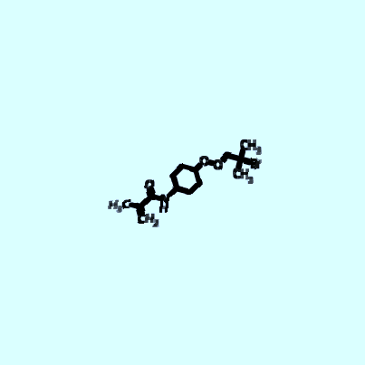 C=C(C)C(=O)NC1CCC(OOCC(C)(C)Br)CC1